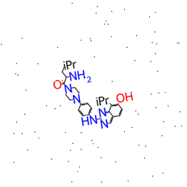 CC(C)CC(N)C(=O)N1CCN(c2ccc(Nc3ncc4ccc(O)c(C(C)C)c4n3)cc2)CC1